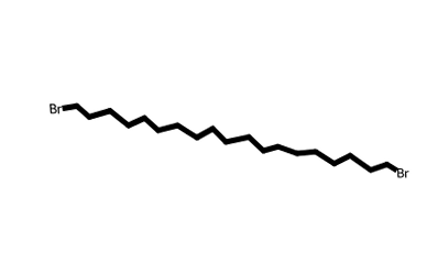 BrCCCCCCCCCCCCCCCCCCCBr